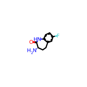 N[C@H]1CCc2cc(F)ccc2NC1=O